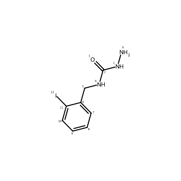 NNC(=O)NCc1ccccc1I